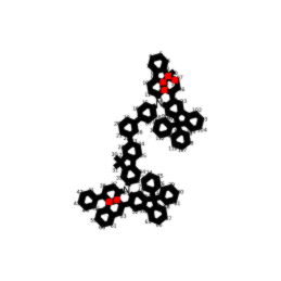 CC1(C)c2ccccc2-c2ccc(N(c3ccc(-c4cccc(-c5ccc6c(c5)C(C)(C)c5cc(N(c7ccc(-c8ccccc8)cc7)c7cc8c(cc7-c7ccc9ccccc9c7)-c7ccccc7C8(c7ccccc7)c7ccccc7)ccc5-6)c4)cc3)c3cc4c(cc3-c3ccccc3)-c3ccccc3C4(c3ccccc3)c3ccccc3)cc21